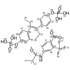 CC(C)C(=O)Nc1ccc([N+](=O)[O-])c(C(F)(F)F)c1.CC/C(=C(/CC)c1ccc(OP(=O)(O)O)cc1)c1ccc(OP(=O)(O)O)cc1